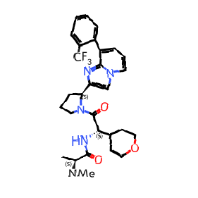 CN[C@@H](C)C(=O)N[C@H](C(=O)N1CCC[C@H]1c1cn2cccc(-c3ccccc3C(F)(F)F)c2n1)C1CCOCC1